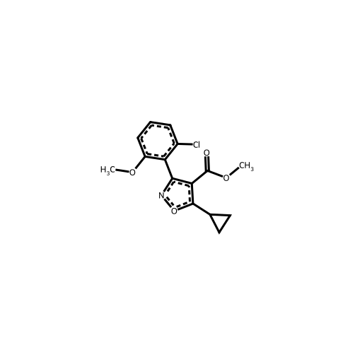 COC(=O)c1c(-c2c(Cl)cccc2OC)noc1C1CC1